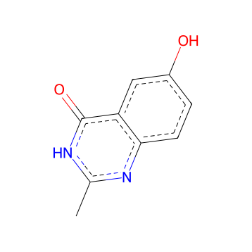 Cc1nc2ccc(O)cc2c(=O)[nH]1